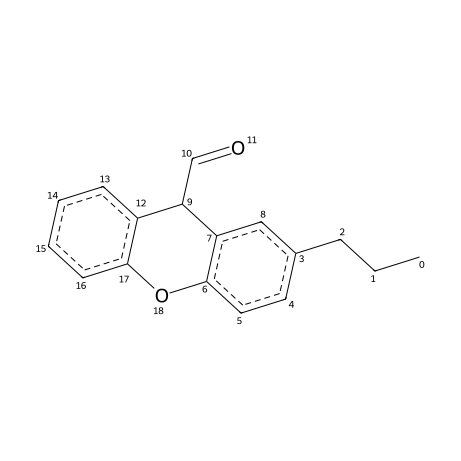 CCCc1ccc2c(c1)C(C=O)c1ccccc1O2